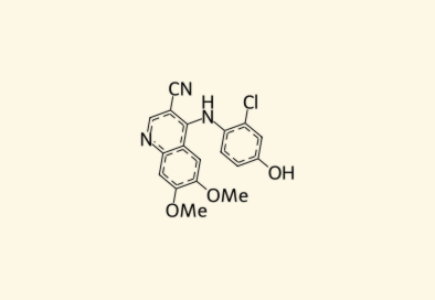 COc1cc2ncc(C#N)c(Nc3ccc(O)cc3Cl)c2cc1OC